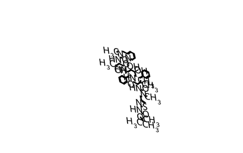 CC(C)[C@H](NC(=O)N(C)Cc1ccccn1)C(=O)N[C@@H](Cc1ccccc1)[C@H](O)[C@@H](O)[C@H](Cc1ccccc1)NC(=O)[C@@H](NC(=O)N(C)Cc1csc(NC(=O)OC(C)(C)C)n1)C(C)C